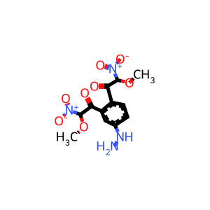 COC(C(=O)c1ccc(NN)cc1C(=O)C(OC)[N+](=O)[O-])[N+](=O)[O-]